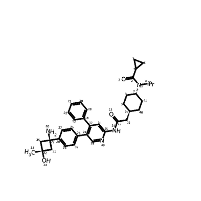 CC(C)N(C(=O)C1CC1)[C@H]1CC[C@H](CC(=O)Nc2cc(-c3ccccc3)c(-c3ccc([C@]4(N)C[C@](C)(O)C4)cc3)cn2)CC1